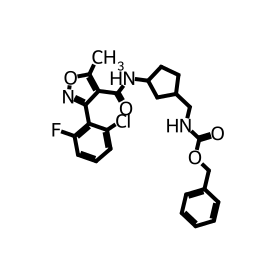 Cc1onc(-c2c(F)cccc2Cl)c1C(=O)NC1CCC(CNC(=O)OCc2ccccc2)C1